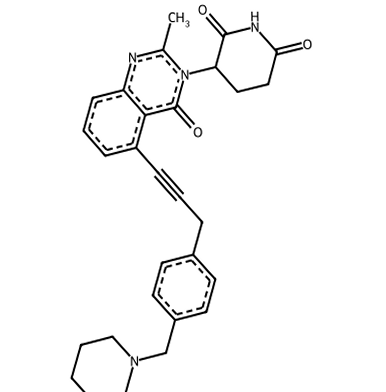 Cc1nc2cccc(C#CCc3ccc(CN4CCCCC4)cc3)c2c(=O)n1C1CCC(=O)NC1=O